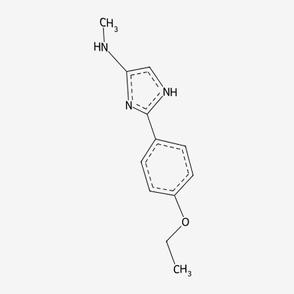 CCOc1ccc(-c2nc(NC)c[nH]2)cc1